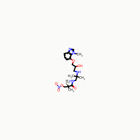 Cn1cnc2cccc(OCC(O)CNC(C)(C)CNC(=O)C(C)(C)CO[N+](=O)[O-])c21